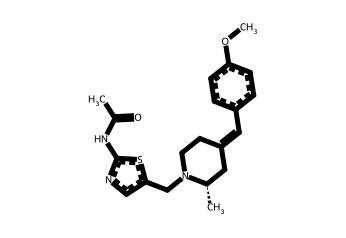 COc1ccc(/C=C2\CCN(Cc3cnc(NC(C)=O)s3)[C@@H](C)C2)cc1